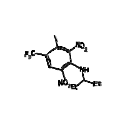 CCC(CC)Nc1c([N+](=O)[O-])cc(C(F)(F)F)c(C)c1[N+](=O)[O-]